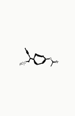 CC#CC(CC(=O)O)c1ccc(OC(C)C(C)C)cc1